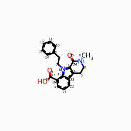 CN1CCc2c(n(CCc3ccccc3)c3c(C(=O)O)cccc23)C1=O